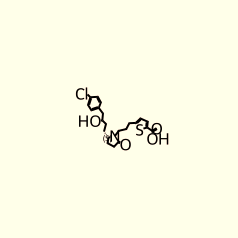 O=C(O)c1ccc(CCCN2C(=O)CC[C@@H]2CCC(O)Cc2ccc(Cl)cc2)s1